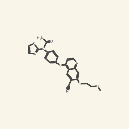 COCCOc1cc2nccc(Oc3ccc(N(C(N)=O)c4nccs4)cc3)c2cc1C#N